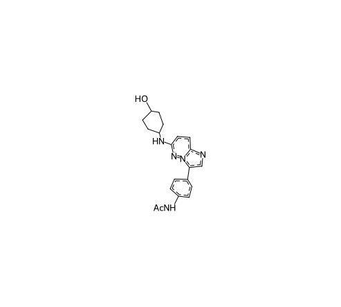 CC(=O)Nc1ccc(-c2cnc3ccc(NC4CCC(O)CC4)nn23)cc1